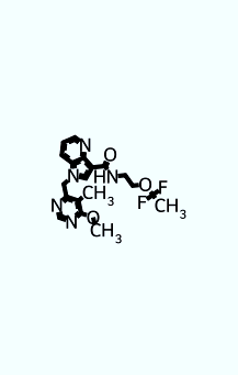 COc1ncnc(Cn2cc(C(=O)NCCOC(C)(F)F)c3ncccc32)c1C